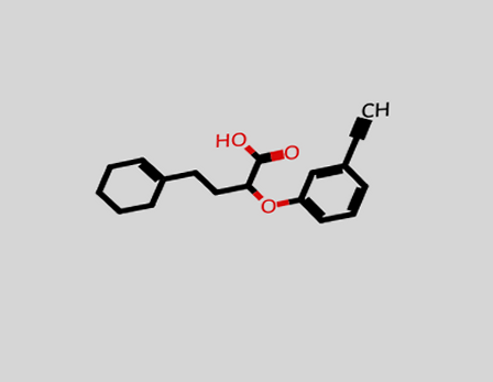 C#Cc1cccc(OC(CCC2=CCCCC2)C(=O)O)c1